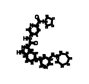 O=C(Nc1ccc(C(=O)N2CCCC2)nc1)c1n[nH]c2ccc(-c3cncc(CN4CCCCCC4)c3)cc12